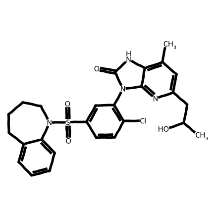 Cc1cc(CC(C)O)nc2c1[nH]c(=O)n2-c1cc(S(=O)(=O)N2CCCCc3ccccc32)ccc1Cl